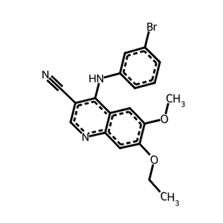 CCOc1cc2ncc(C#N)c(Nc3cccc(Br)c3)c2cc1OC